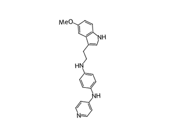 COc1ccc2[nH]cc(CCNc3ccc(Nc4ccncc4)cc3)c2c1